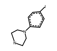 Ic1ccc(N2CC[N]CC2)cc1